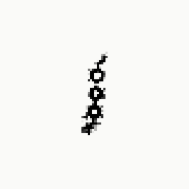 CCC[C@H]1CC[C@H](c2ccc(-c3ccc(C(F)C(C)(F)F)cc3)cc2)CC1